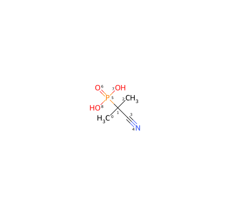 CC(C)(C#N)P(=O)(O)O